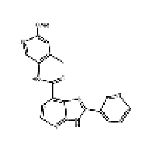 COc1cc(C)c(NC(=O)c2ccnc3[nH]c(-c4cccnc4)nc23)cn1